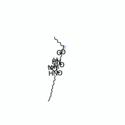 CCCCCC/C=C\COC(=O)CCCNC(=O)C(CCC(=O)NCCCCCCCCCCCCCC)NC(=O)CN(C)C